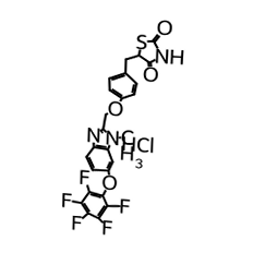 Cl.Cn1c(COc2ccc(CC3SC(=O)NC3=O)cc2)nc2ccc(Oc3c(F)c(F)c(F)c(F)c3F)cc21